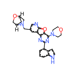 c1cc(-c2nc(N3CCOCC3)c3oc4ncc(CN5C[C@@H]6C[C@H]5CO6)cc4c3n2)c2cc[nH]c2c1